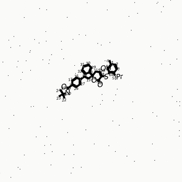 Cc1ccc(C(C)C)c(SC2=C(O)CC(CCc3ccc(C4=NC(C)(C)CO4)cc3)(c3ccccc3)OC2=O)c1